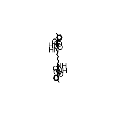 Cc1cccc(S(=O)(=O)NC(=O)NCCCCCCNC(=O)NS(=O)(=O)c2cccc(C)c2)c1